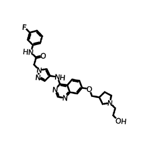 O=C(Cn1cc(Nc2ncnc3cc(OCC4CCN(CCO)C4)ccc23)cn1)Nc1cccc(F)c1